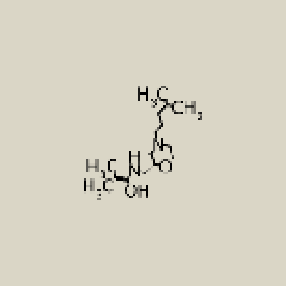 CC(C)=C(O)NC[C@@H]1CN(CCCC(C)C)CCO1